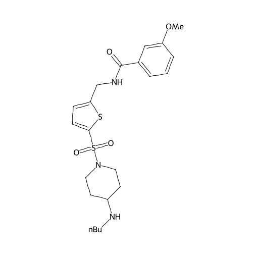 CCCCNC1CCN(S(=O)(=O)c2ccc(CNC(=O)c3cccc(OC)c3)s2)CC1